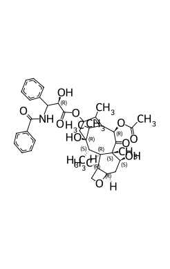 CC(=O)O[C@H]1C(=O)[C@@]2(C)[C@H]([C@H](C)[C@]3(O)CC(OC(=O)[C@H](O)C(NC(=O)c4ccccc4)c4ccccc4)C(C)=C1C3(C)C)[C@]1(C)CO[C@@H]1C[C@@H]2O